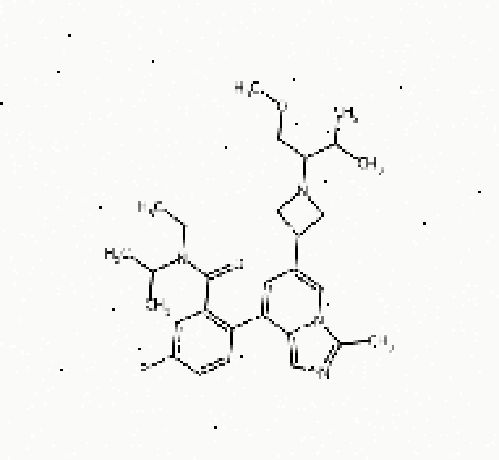 CCN(C(=O)c1cc(F)ccc1-c1cc(C2CN(C(COC)C(C)C)C2)cn2c(C)ncc12)C(C)C